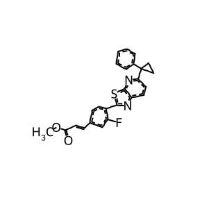 COC(=O)C=Cc1ccc(-c2nc3ccc(C4(c5ccccc5)CC4)nc3s2)c(F)c1